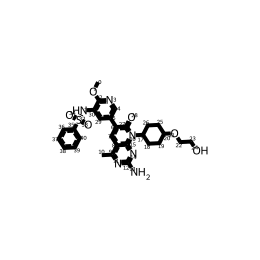 COc1ncc(-c2cc3c(C)nc(N)nc3n(C3CCC(OCCO)CC3)c2=O)cc1NS(=O)(=O)c1ccccc1